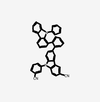 N#Cc1cccc(-n2c3ccc(C#N)cc3c3cc(-c4ccccc4-c4cccc5c6ccccc6n(-c6ccccc6)c45)ccc32)c1